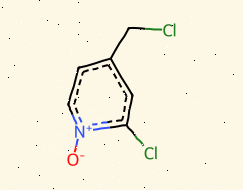 [O-][n+]1ccc(CCl)cc1Cl